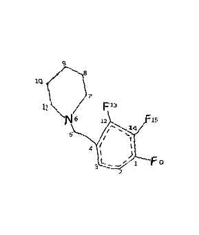 Fc1ccc(CN2CCCCC2)c(F)c1F